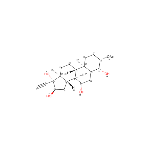 C#C[C@]1(O)[C@H](O)C[C@H]2[C@@H]3[C@@H](O)CC4[C@@H](O)[C@@H](OC(C)=O)CC[C@]4(C)[C@H]3CC[C@@]21C